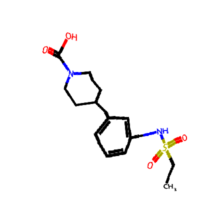 CCS(=O)(=O)Nc1cccc(C2CCN(C(=O)O)CC2)c1